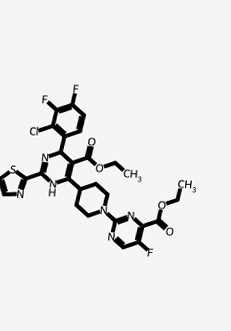 CCOC(=O)C1=C(C2CCN(c3ncc(F)c(C(=O)OCC)n3)CC2)NC(c2nccs2)=NC1c1ccc(F)c(F)c1Cl